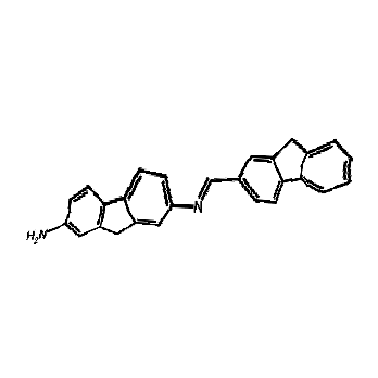 Nc1ccc2c(c1)Cc1cc(/N=C/c3ccc4c(c3)Cc3ccccc3-4)ccc1-2